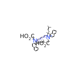 CC(C)=CCC1(C)C(/C=C/C=C/C=C2/N(CCC(=O)O)c3ccc4ccccc4c3C2(C)CC=C(C)C)=[N+](CCC(=O)O)c2ccc3ccccc3c21